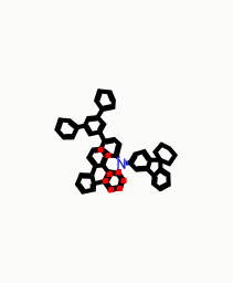 c1ccc(-c2cc(-c3ccccc3)cc(-c3ccc(N(c4ccc5c(c4)-c4ccccc4C54CCCCC4)c4ccccc4-c4ccccc4-c4ccccc4-c4ccccc4)cc3)c2)cc1